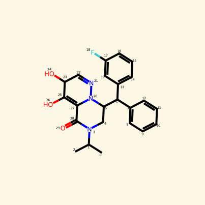 CC(C)N1CC(C(c2ccccc2)c2cccc(F)c2)N2N=CC(O)C(O)=C2C1=O